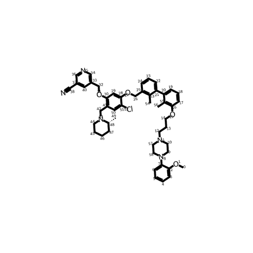 COc1ccccc1N1CCN(CCCOc2cccc(-c3cccc(COc4cc(OCc5cncc(C#N)c5)c(CN5CCCC[C@H]5C)cc4Cl)c3C)c2C)CC1